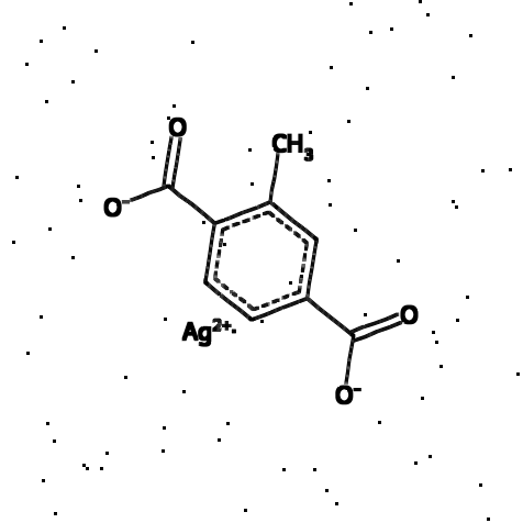 Cc1cc(C(=O)[O-])ccc1C(=O)[O-].[Ag+2]